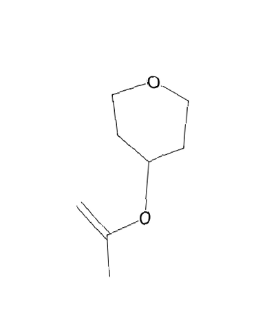 C=C(C)OC1CCOCC1